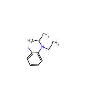 CCN(c1ccccc1I)C(C)C